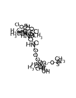 COc1cc(C(=O)NCCOCCOCCOCC(=O)N[C@H](C(=O)N2C[C@H](O)C[C@H]2C(=O)CCc2ccc(-c3scnc3C)cc2)C(C)(C)C)ccc1NC(=O)[C@@H]1N[C@@H](CC(C)(C)C)[C@](C#N)(c2ccc(Cl)cc2F)[C@H]1c1cccc(Cl)c1F